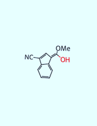 COC(O)=C1C=C(C#N)c2ccccc21